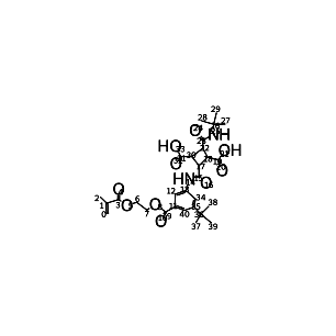 C=C(C)C(=O)OCCOC(=O)c1cc(NC(=O)C2C(C(=O)O)C(C(=O)NC(C)(C)C)C2C(=O)O)cc(C(C)(C)C)c1